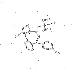 Cc1ccc(C2=N[C@@H](CC(O)(O)C(F)(F)F)c3onc(C)c3-c3ccccc32)cc1